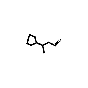 CC(CC=O)C1CCCC1